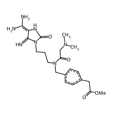 COC(=O)Cc1ccc(CN(CCCN2C(=N)C(=C(N)N)NC2=O)C(=O)CN(C)C)cc1